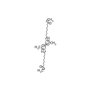 COC(=O)CCCCCCC/C=C/C(CSSCC(/C=C/CCCCCCCC(=O)OC)NC(C)=O)NC(C)=O